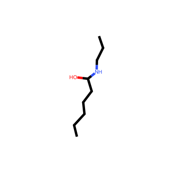 CCCCCC(O)NCCC